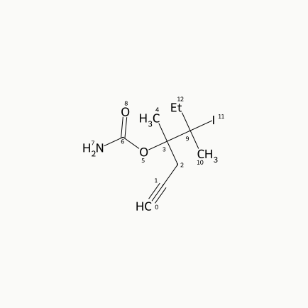 C#CCC(C)(OC(N)=O)C(C)(I)CC